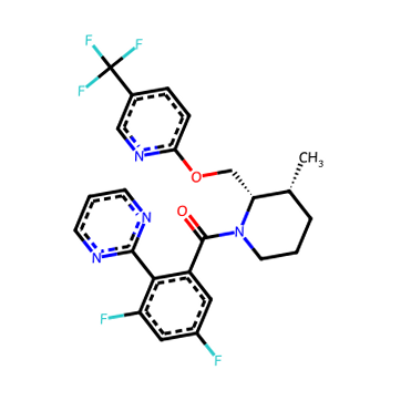 C[C@@H]1CCCN(C(=O)c2cc(F)cc(F)c2-c2ncccn2)[C@@H]1COc1ccc(C(F)(F)F)cn1